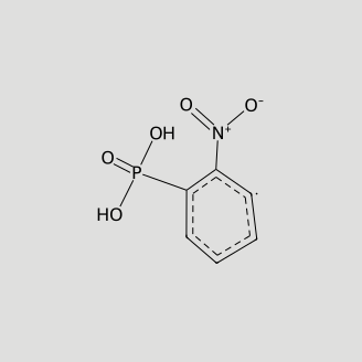 O=[N+]([O-])c1[c]cccc1P(=O)(O)O